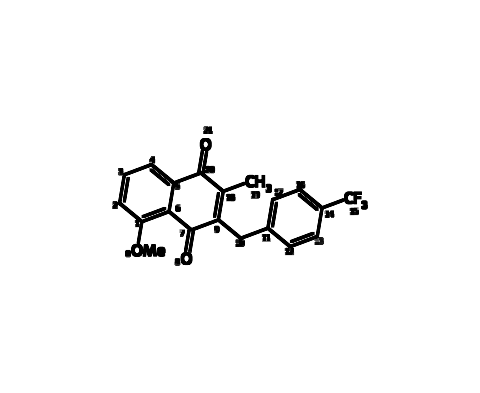 COc1cccc2c1C(=O)C(Cc1ccc(C(F)(F)F)cc1)=C(C)C2=O